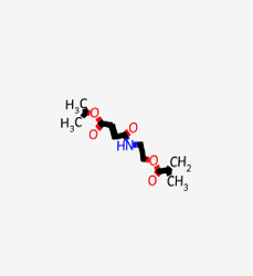 C=C(C)C(=O)OCCNC(=O)/C=C/C(=O)OC(C)C